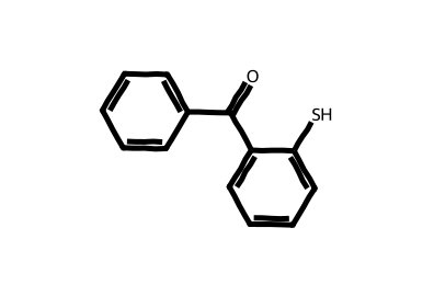 O=C(c1ccccc1)c1ccccc1S